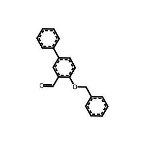 O=Cc1cc(-c2ccccc2)ccc1OCc1ccccc1